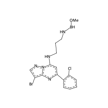 COBNCCCNc1cc(-c2ccccc2Cl)nc2c(Br)cnn12